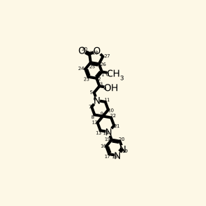 Cc1c(C(O)CN2CCC3(CC2)CCN(c2ccnnc2)CC3)ccc2c1COC2=O